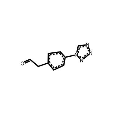 O=CCc1ccc(-n2cnnn2)cc1